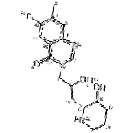 Cc1cc2ncn(CC(O)C[C@H]3NCCC[C@@H]3O)c(=O)c2cc1F